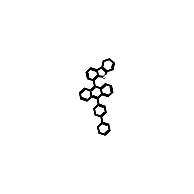 C1=CCCC(C2=CC=C(c3c4ccccc4c(-c4cccc5c6c(sc45)C=CCC6)c4ccccc34)CC2)=C1